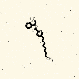 CCCCCCCCCc1ccc(C(=O)OC(CC)c2ccccc2)nc1